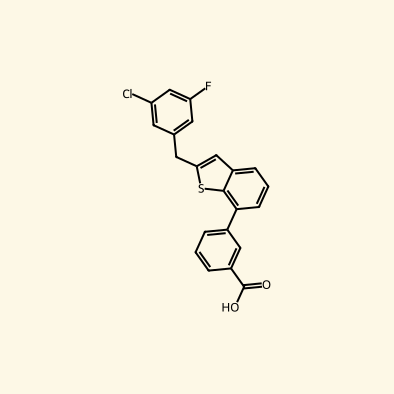 O=C(O)c1cccc(-c2cccc3cc(Cc4cc(F)cc(Cl)c4)sc23)c1